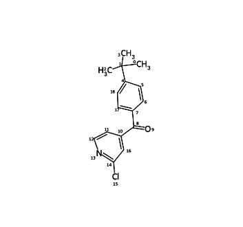 CC(C)(C)c1ccc(C(=O)c2ccnc(Cl)c2)cc1